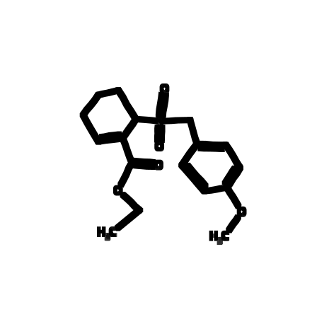 CCOC(=O)C1=CCCCC1S(=O)(=O)Cc1ccc(OC)cc1